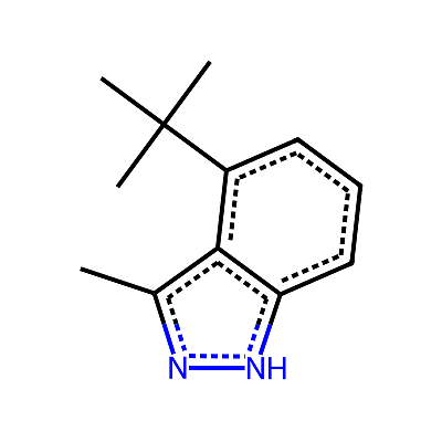 Cc1n[nH]c2cccc(C(C)(C)C)c12